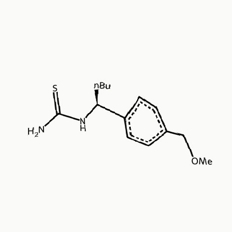 CCCC[C@H](NC(N)=S)c1ccc(COC)cc1